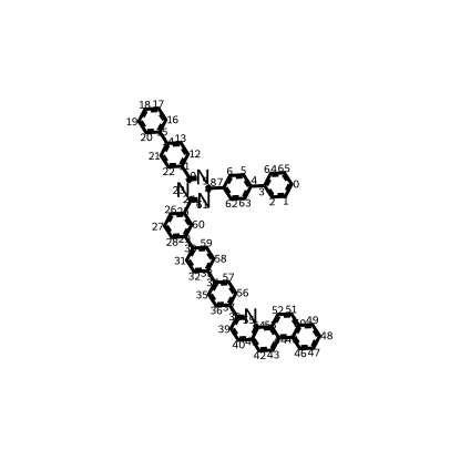 c1ccc(-c2ccc(-c3nc(-c4ccc(-c5ccccc5)cc4)nc(-c4cccc(-c5ccc(-c6ccc(-c7ccc8ccc9c%10ccccc%10ccc9c8n7)cc6)cc5)c4)n3)cc2)cc1